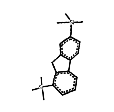 C[Si](C)(C)c1ccc2c(c1)Cc1c-2cccc1[Si](C)(C)C